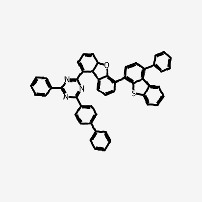 C1=CC2Oc3c(-c4ccc(-c5ccccc5)c5c4sc4ccccc45)cccc3C2C(c2nc(-c3ccccc3)nc(-c3ccc(-c4ccccc4)cc3)n2)=C1